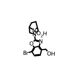 O=C(O)N1C2CCC1CN(c1nc3c(CO)ccc(Br)c3o1)C2